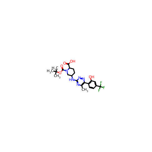 Cc1nc(NC2CCC(C(=O)O)N(C(=O)OC(C)(C)C)C2)nnc1-c1ccc(C(F)(F)F)cc1O